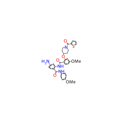 COc1ccc(NC(=O)c2ccc(N)cc2NC(=O)c2ccc(OC)cc2OC2CCN(C(=O)c3cccs3)CC2)cc1